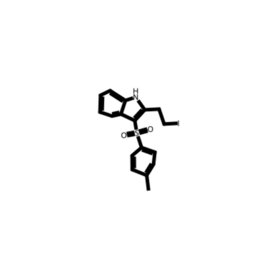 Cc1ccc(S(=O)(=O)c2c(CCI)[nH]c3ccccc23)cc1